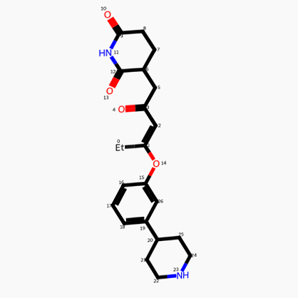 CC/C(=C\C(=O)CC1CCC(=O)NC1=O)Oc1cccc(C2CCNCC2)c1